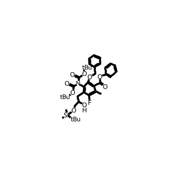 Cc1c(F)c(CC(O)CO[Si](C)(C)C(C)(C)C)c(N(C(=O)OC(C)(C)C)C(=O)OC(C)(C)C)c(OCc2ccccc2)c1C(=O)Oc1ccccc1